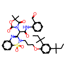 CCC(C)(C)c1ccc(OCCCN2C(C(C(=O)Nc3ccccc3C=O)N3C(=O)OC(C)(C)C3=O)=Nc3ccccc3S2(=O)=O)c(C(C)(C)CC)c1